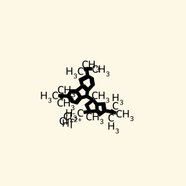 CC(C)(C)C1=CC2C(=C1)C(C)(C)CC2(C)C1c2ccc(C(C)(C)C)cc2-c2cc(C(C)(C)C)ccc21.[Cl-].[Cl-].[Hf+2]